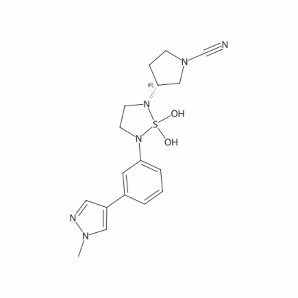 Cn1cc(-c2cccc(N3CCN([C@@H]4CCN(C#N)C4)S3(O)O)c2)cn1